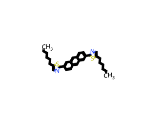 CCCCCCc1cnc(-c2ccc3cc4cc(-c5ncc(CCCCCC)s5)ccc4cc3c2)s1